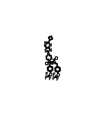 O=C(NCc1ccc(OC(F)(F)F)cc1)[C@H]1CN(c2nc3nc(C4CCC4)ncc3s2)CCN1S(=O)(=O)c1ccc(OC(F)(F)F)cc1